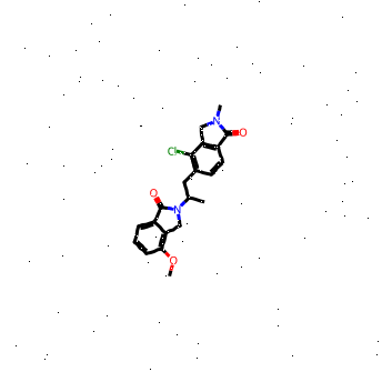 COc1cccc2c1CN(C(C)Cc1ccc3c(c1Cl)CN(C)C3=O)C2=O